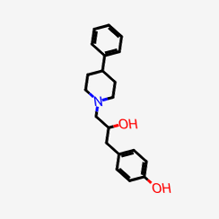 Oc1ccc(CC(O)CN2CCC(c3ccccc3)CC2)cc1